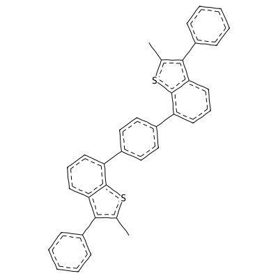 Cc1sc2c(-c3ccc(-c4cccc5c(-c6ccccc6)c(C)sc45)cc3)cccc2c1-c1ccccc1